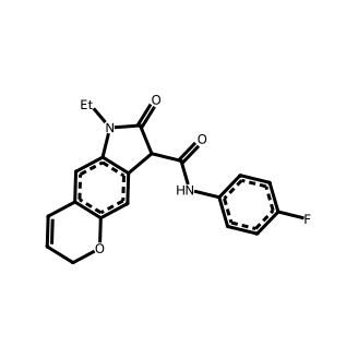 CCN1C(=O)C(C(=O)Nc2ccc(F)cc2)c2cc3c(cc21)C=CCO3